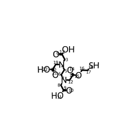 O=C(O)CN(CCN(CC(=O)O)CC(=O)OCCS)CC(=O)O